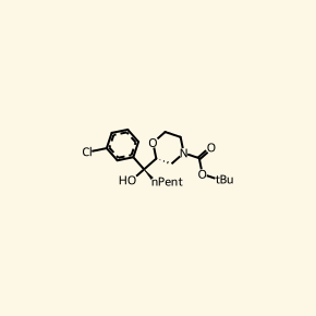 CCCCC[C@@](O)(c1cccc(Cl)c1)[C@H]1CN(C(=O)OC(C)(C)C)CCO1